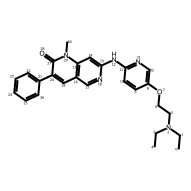 CCN(CC)CCOc1ccc(Nc2cc3c(cn2)cc(-c2ccccc2)c(=O)n3C)nc1